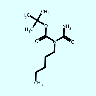 CCCCCN(C(N)=O)C(=O)OC(C)(C)C